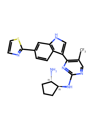 N[C@H]1CCC[C@@H]1Nc1ncc(C(F)(F)F)c(-c2c[nH]c3cc(-c4nccs4)ccc23)n1